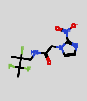 CC(F)(F)C(C)(F)CNC(=O)Cn1ccnc1[N+](=O)[O-]